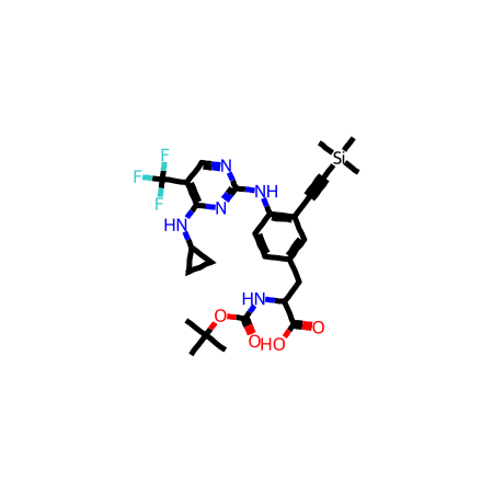 CC(C)(C)OC(=O)NC(Cc1ccc(Nc2ncc(C(F)(F)F)c(NC3CC3)n2)c(C#C[Si](C)(C)C)c1)C(=O)O